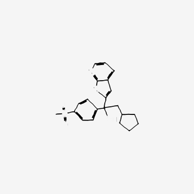 CS(=O)(=O)c1ccc(C(O)(CC2CCCC2)c2cc3cccnc3[nH]2)cc1